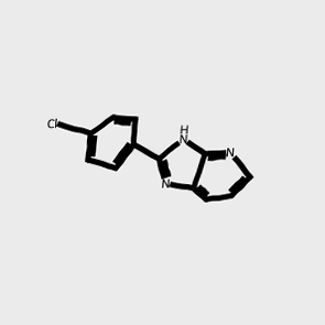 Clc1ccc(-c2nc3cccnc3[nH]2)cc1